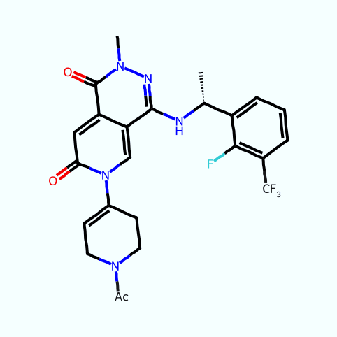 CC(=O)N1CC=C(n2cc3c(N[C@H](C)c4cccc(C(F)(F)F)c4F)nn(C)c(=O)c3cc2=O)CC1